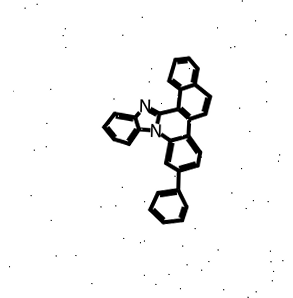 c1ccc(-c2ccc3c4ccc5ccccc5c4c4nc5ccccc5n4c3c2)cc1